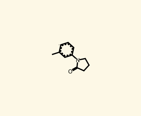 Cc1[c]ccc(N2CCCC2=O)c1